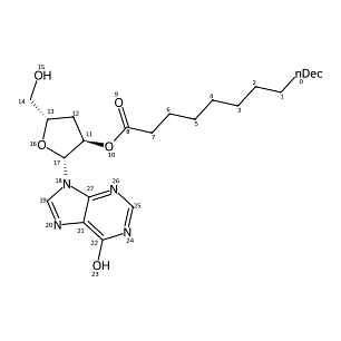 CCCCCCCCCCCCCCCCCC(=O)O[C@@H]1C[C@@H](CO)O[C@H]1n1cnc2c(O)ncnc21